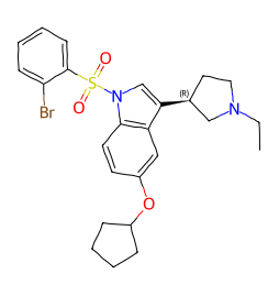 CCN1CC[C@H](c2cn(S(=O)(=O)c3ccccc3Br)c3ccc(OC4CCCC4)cc23)C1